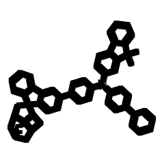 CC1(C)c2ccccc2-c2ccc(N(c3ccc(-c4ccccc4)cc3)c3ccc(-c4ccc5c(c4)-c4ccccc4C54C5CC6CC7CC4C7(C6)C5)cc3)cc21